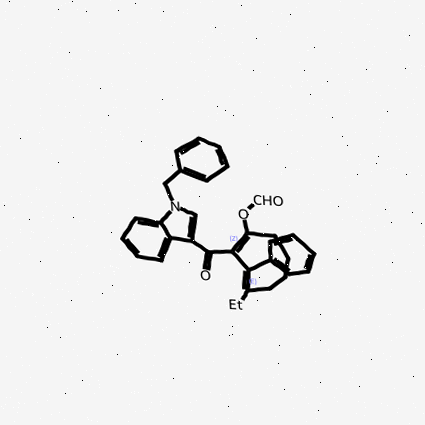 CC/C1=C(c2ccccc2)\C(C(=O)c2cn(Cc3ccccc3)c3ccccc23)=C(\OC=O)CCCC1